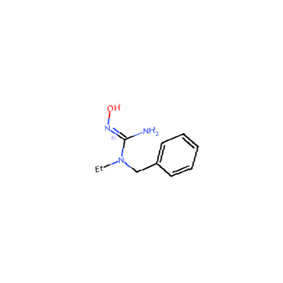 CCN(Cc1ccccc1)/C(N)=N/O